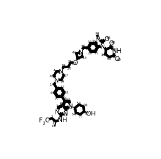 C[C@@H](CC(F)(F)F)Nc1ncc2c(-c3ccc(CN4CCN(CCCOC5CN(Cc6ccc7c(c6)n(C)c(=O)n7C6CCC(=O)NC6=O)C5)CC4)cc3)cn([C@H]3CC[C@H](O)CC3)c2n1